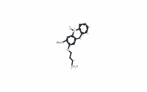 COc1cc2c(cc1OCCCS(=O)(=O)O)Cc1ccccc1[S+]2[O-]